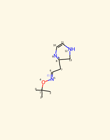 CC(C)(C)O/N=C/CC1=NC=[C]NC1